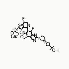 CC(C)(C)OC(=O)Nc1sc2c(F)cnc(-c3c4c(c5cnc(N6CC[C@@H](N7CC(C(C)(C)O)C7)C6)nc5c3F)COC4)c2c1C#N